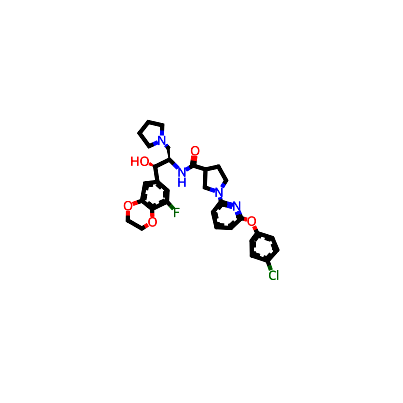 O=C(N[C@H](CN1CCCC1)[C@H](O)c1cc(F)c2c(c1)OCCO2)C1CCN(c2cccc(Oc3ccc(Cl)cc3)n2)C1